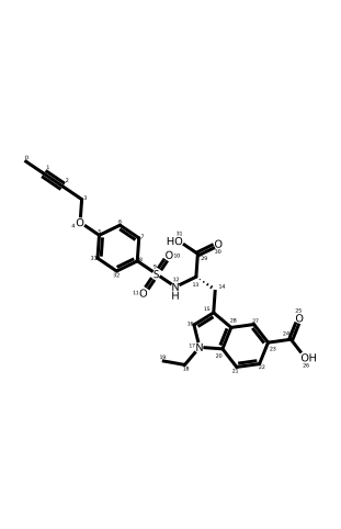 CC#CCOc1ccc(S(=O)(=O)N[C@@H](Cc2cn(CC)c3ccc(C(=O)O)cc23)C(=O)O)cc1